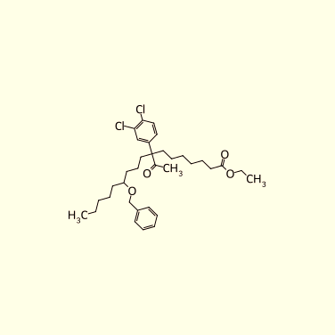 CCCCCC(CCCC(CCCCCCC(=O)OCC)(C(C)=O)c1ccc(Cl)c(Cl)c1)OCc1ccccc1